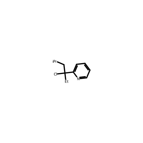 CCC(Cl)(CC(C)C)c1ccccn1